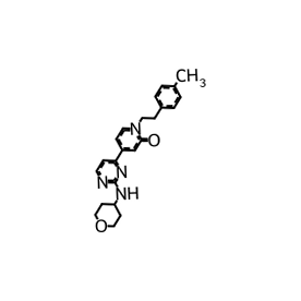 Cc1ccc(CCn2ccc(-c3ccnc(NC4CCOCC4)n3)cc2=O)cc1